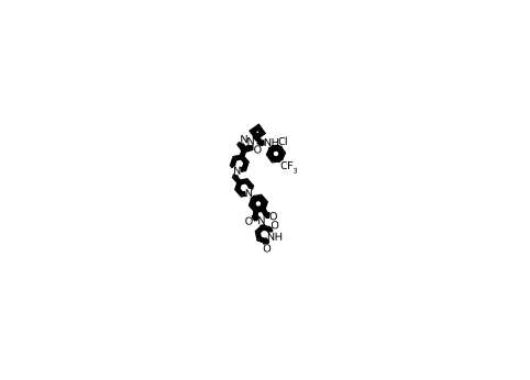 O=C1CCC(N2C(=O)c3ccc(N4CCC(CN5CCC(c6cnn(C7(C(=O)Nc8ccc(C(F)(F)F)cc8Cl)CCC7)c6)CC5)CC4)cc3C2=O)C(=O)N1